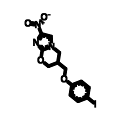 O=[N+]([O-])c1cn2c(n1)OCC(COc1ccc(I)cc1)C2